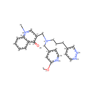 COc1cc(CN(CCCc2ccnnc2)Cc2cn(C)c3ccccc3c2=O)ccn1